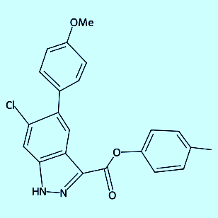 COc1ccc(-c2cc3c(C(=O)Oc4ccc(C)cc4)n[nH]c3cc2Cl)cc1